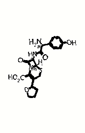 N[C@@H](C(=O)N[C@@H]1C(=O)N2C(C(=O)O)=C(C3CCCO3)CS[C@H]12)c1ccc(O)cc1